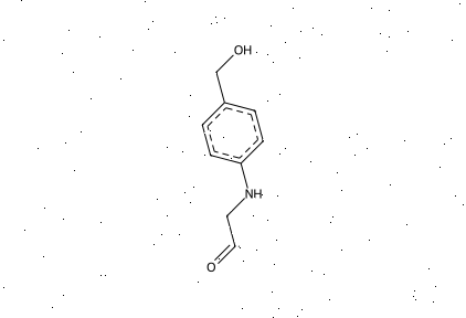 O=[C]CNc1ccc(CO)cc1